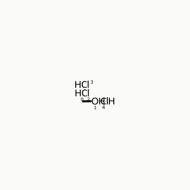 CO.Cl.Cl.Cl